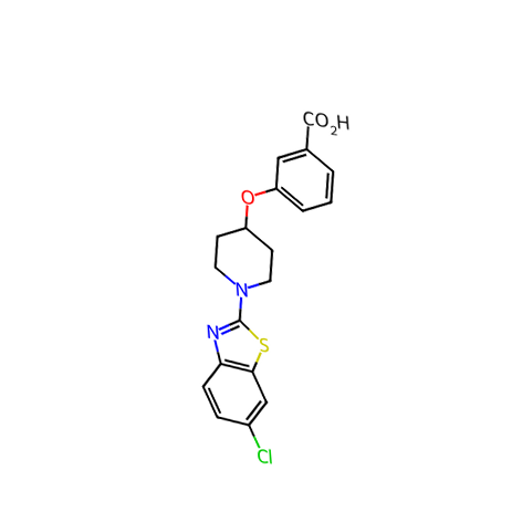 O=C(O)c1cccc(OC2CCN(c3nc4ccc(Cl)cc4s3)CC2)c1